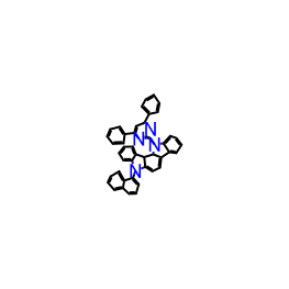 C1=C2c3ccccc3N(c3nc(-c4ccccc4)cc(-c4ccccc4)n3)C2C2C(=C1)N(c1cccc3ccccc13)c1ccccc12